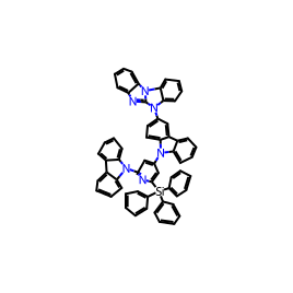 c1ccc([Si](c2ccccc2)(c2ccccc2)c2cc(-n3c4ccccc4c4cc(-n5c6ccccc6n6c7ccccc7nc56)ccc43)cc(-n3c4ccccc4c4ccccc43)n2)cc1